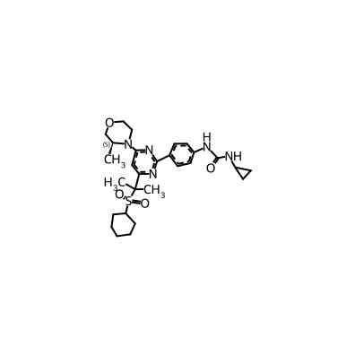 C[C@H]1COCCN1c1cc(C(C)(C)S(=O)(=O)C2CCCCC2)nc(-c2ccc(NC(=O)NC3CC3)cc2)n1